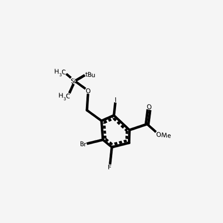 COC(=O)c1cc(F)c(Br)c(CO[Si](C)(C)C(C)(C)C)c1I